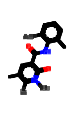 CCCCn1c(CC)c(C)cc(C(=O)Nc2c(C)cccc2OC(C)=O)c1=O